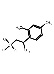 Cc1ccc(C(C)C[Si](Cl)(Cl)Cl)c(C)c1